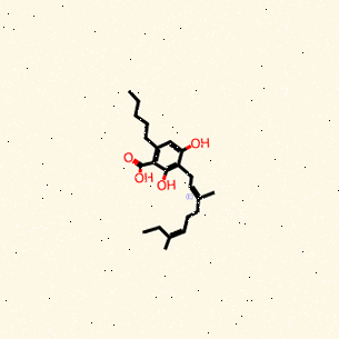 CCCCCc1cc(O)c(C/C=C(\C)CCC=C(C)CC)c(O)c1C(=O)O